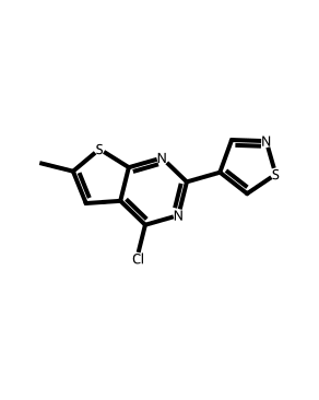 Cc1cc2c(Cl)nc(-c3cnsc3)nc2s1